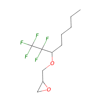 CCCCCC(OCC1CO1)C(F)(F)C(F)(F)F